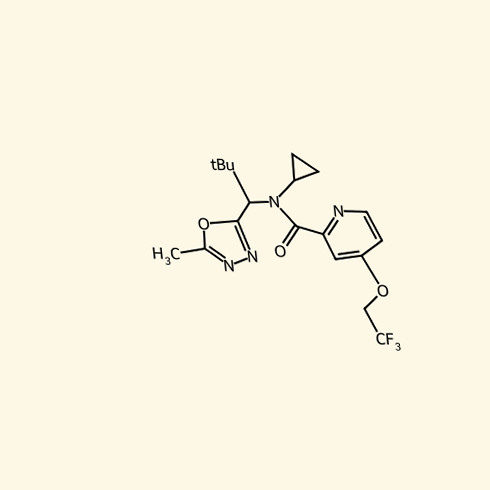 Cc1nnc(C(N(C(=O)c2cc(OCC(F)(F)F)ccn2)C2CC2)C(C)(C)C)o1